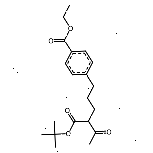 CCOC(=O)c1ccc(CCCC(C(C)=O)C(=O)OC(C)(C)C)cc1